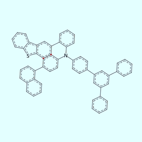 c1ccc(-c2cc(-c3ccccc3)cc(-c3ccc(N(c4ccc(-c5cccc6ccccc56)cc4)c4ccccc4-c4ccc5sc6ccccc6c5c4)cc3)c2)cc1